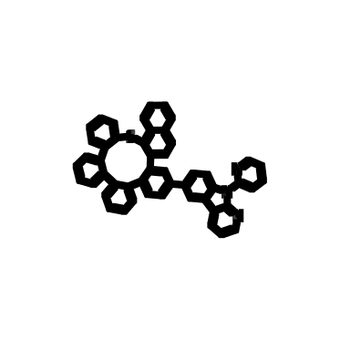 c1ccc(-n2c3ccc(-c4ccc5c(c4)-c4ccc6ccccc6c4Sc4ccccc4-c4ccccc4-c4ccccc4-5)cc3c3cccnc32)nc1